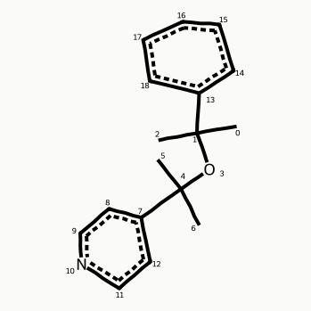 CC(C)(OC(C)(C)c1ccncc1)c1ccccc1